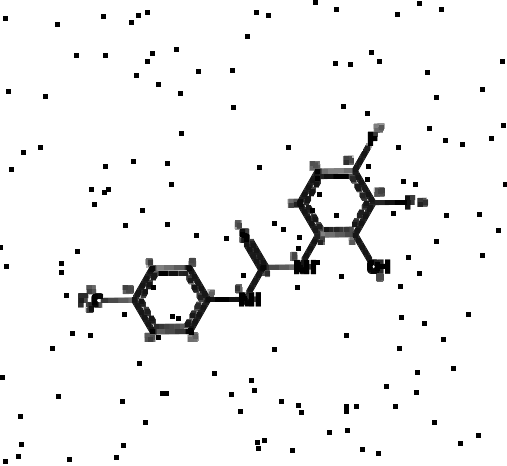 Oc1c(NC(=S)Nc2ccc(C(F)(F)F)cc2)ccc(F)c1F